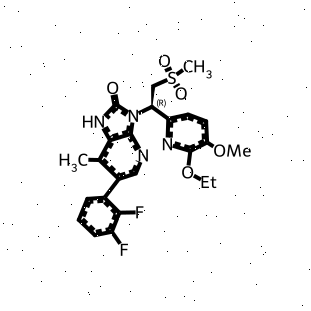 CCOc1nc([C@H](CS(C)(=O)=O)n2c(=O)[nH]c3c(C)c(-c4cccc(F)c4F)cnc32)ccc1OC